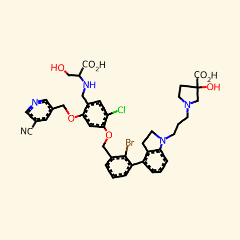 N#Cc1cncc(COc2cc(OCc3cccc(-c4cccc5c4CCN5CCCN4CCC(O)(C(=O)O)C4)c3Br)c(Cl)cc2CNC(CO)C(=O)O)c1